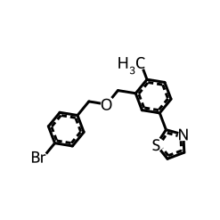 Cc1ccc(-c2nccs2)cc1COCc1ccc(Br)cc1